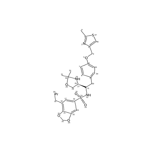 Cc1nc(COc2ccc(CC(NS(=O)(=O)c3cc(CC(C)C)c4c(c3)OCO4)[C@H]3COC(C)(C)N3)cc2)cs1